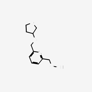 COCc1cccc(COC2CCOC2)n1